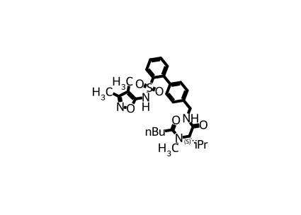 CCCCC(=O)N(C)[C@H](C(=O)NCc1ccc(-c2ccccc2S(=O)(=O)Nc2onc(C)c2C)cc1)C(C)C